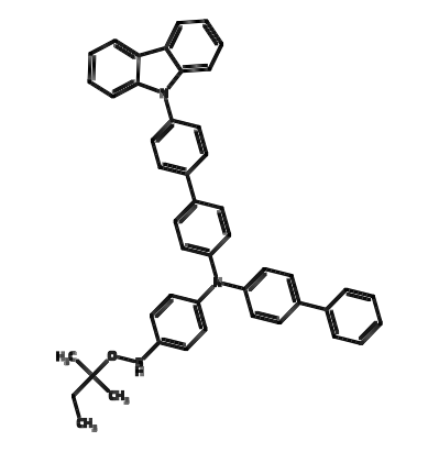 CCC(C)(C)OBc1ccc(N(c2ccc(-c3ccccc3)cc2)c2ccc(-c3ccc(-n4c5ccccc5c5ccccc54)cc3)cc2)cc1